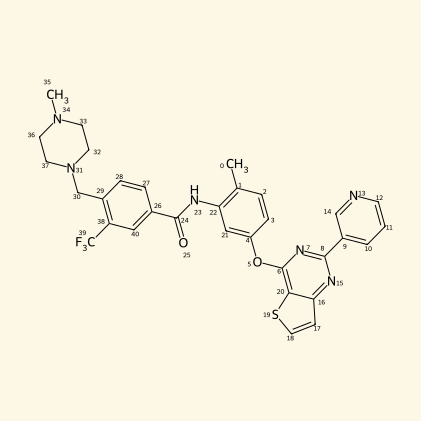 Cc1ccc(Oc2nc(-c3cccnc3)nc3ccsc23)cc1NC(=O)c1ccc(CN2CCN(C)CC2)c(C(F)(F)F)c1